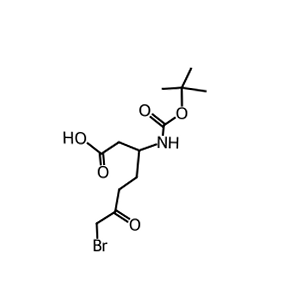 CC(C)(C)OC(=O)NC(CCC(=O)CBr)CC(=O)O